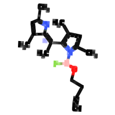 C#CCCOB(F)n1c(C)cc(C)c1/C(C)=C1\N=C(C)C=C1C